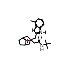 Cc1cccc2[nH]c(CC3CC4CCC(C3)N4CCC(=O)NC(C)(C)C)nc12